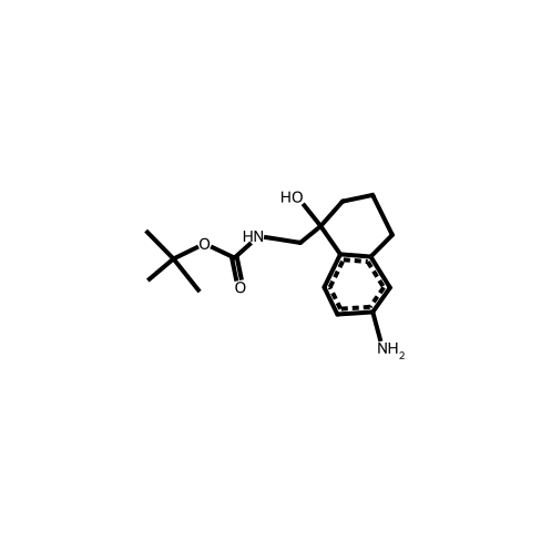 CC(C)(C)OC(=O)NCC1(O)CCCc2cc(N)ccc21